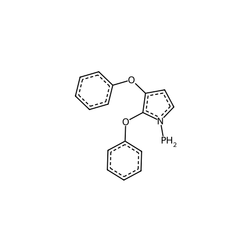 Pn1ccc(Oc2ccccc2)c1Oc1ccccc1